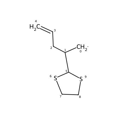 [CH2]C(CC=C)C1SCCS1